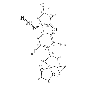 CC1C[N@@+](N=[N+]=[N-])(c2cc(F)c(N3CC4(CC4)C4(C3)OCCO4)c(F)c2)C(=O)O1